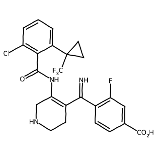 N=C(C1=C(NC(=O)c2c(Cl)cccc2C2(C(F)(F)F)CC2)CNCC1)c1ccc(C(=O)O)cc1F